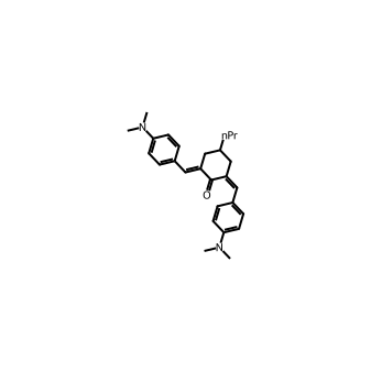 CCCC1CC(=Cc2ccc(N(C)C)cc2)C(=O)C(=Cc2ccc(N(C)C)cc2)C1